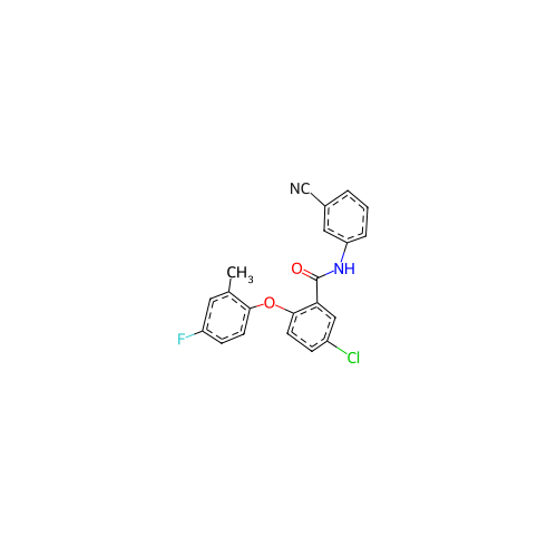 Cc1cc(F)ccc1Oc1ccc(Cl)cc1C(=O)Nc1cccc(C#N)c1